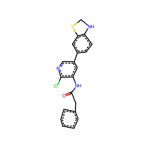 O=C(Cc1ccccc1)Nc1cc(-c2ccc3c(c2)SCN3)cnc1Cl